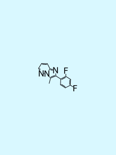 Cc1c(-c2ccc(F)cc2F)nc2cccnn12